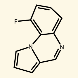 Fc1cccc2ncc3cccn3c12